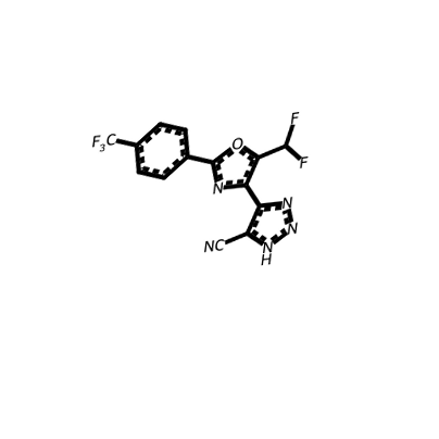 N#Cc1[nH]nnc1-c1nc(-c2ccc(C(F)(F)F)cc2)oc1C(F)F